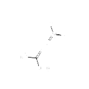 CC(C)=O.O=[N+]([O-])O.[Ni]